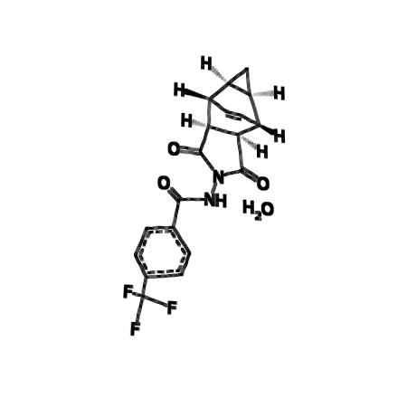 O.O=C(NN1C(=O)[C@@H]2[C@@H]3C=C[C@@H]([C@H]4C[C@@H]34)[C@@H]2C1=O)c1ccc(C(F)(F)F)cc1